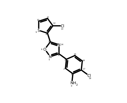 Nc1cc(-c2noc(-c3sccc3Cl)n2)ccc1Cl